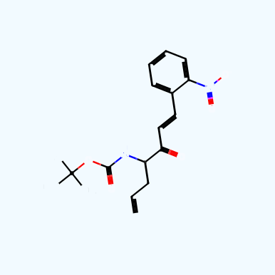 C=CCC(NC(=O)OC(C)(C)C)C(=O)/C=C/c1ccccc1[N+](=O)[O-]